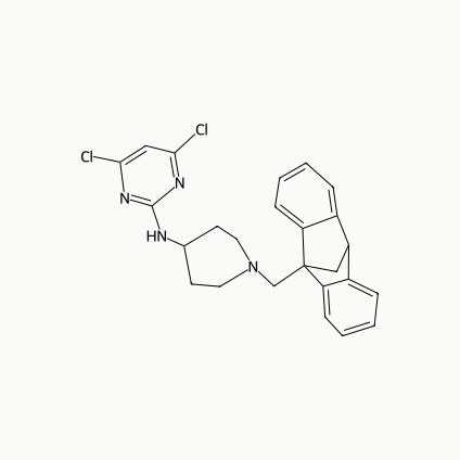 Clc1cc(Cl)nc(NC2CCN(CC34CC(c5ccccc53)c3ccccc34)CC2)n1